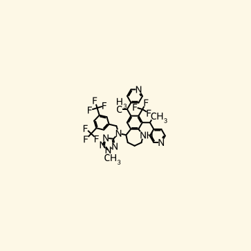 CC(c1ccncc1)c1cc2c(c(C(C)c3ccncc3)c1C(F)(F)F)NCCCC2N(Cc1cc(C(F)(F)F)cc(C(F)(F)F)c1)c1nnn(C)n1